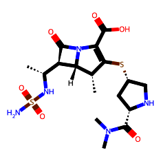 C[C@@H](NS(N)(=O)=O)[C@H]1C(=O)N2C(C(=O)O)=C(S[C@@H]3CN[C@H](C(=O)N(C)C)C3)[C@H](C)[C@H]12